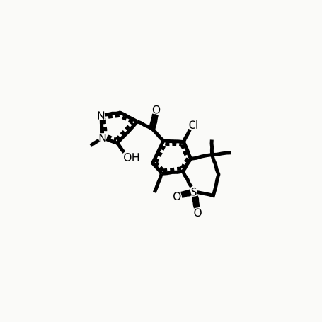 Cc1cc(C(=O)c2cnn(C)c2O)c(Cl)c2c1S(=O)(=O)CCC2(C)C